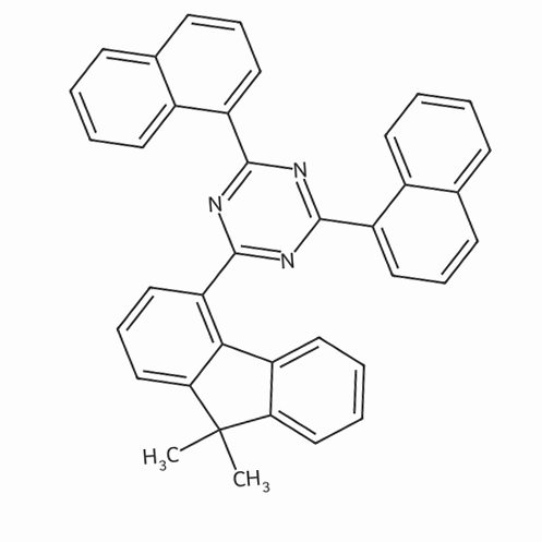 CC1(C)c2ccccc2-c2c(-c3nc(-c4cccc5ccccc45)nc(-c4cccc5ccccc45)n3)cccc21